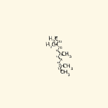 C/C=C(\C)C/C=C/C(C)=C/C/C(C)=C/C